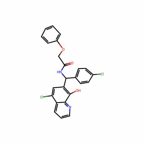 O=C(COc1ccccc1)NC(c1ccc(Cl)cc1)c1cc(Cl)c2cccnc2c1O